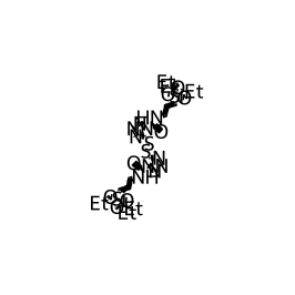 CCO[Si](CCCNC(=O)n1nnnc1SSc1nnnn1C(=O)NCCC[Si](OCC)(OCC)OCC)(OCC)OCC